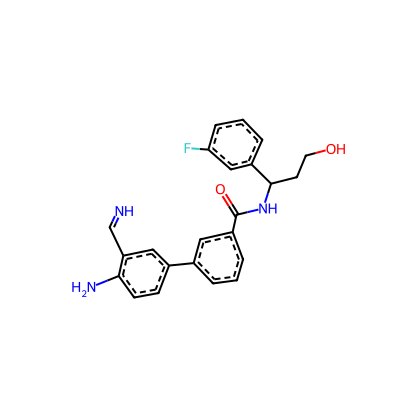 N=Cc1cc(-c2cccc(C(=O)NC(CCO)c3cccc(F)c3)c2)ccc1N